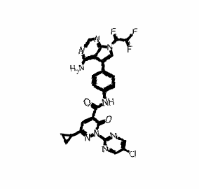 Nc1ncnc2c1c(-c1ccc(NC(=O)c3cc(C4CC4)nn(-c4ncc(Cl)cn4)c3=O)cc1)cn2C(F)C(F)F